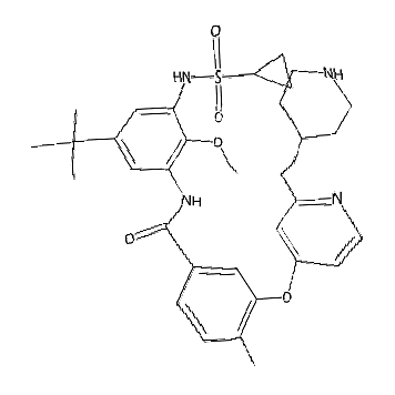 COc1c(NC(=O)c2ccc(C)c(Oc3ccnc(CC4CCNCC4)c3)c2)cc(C(C)(C)C)cc1NS(=O)(=O)C1CC1